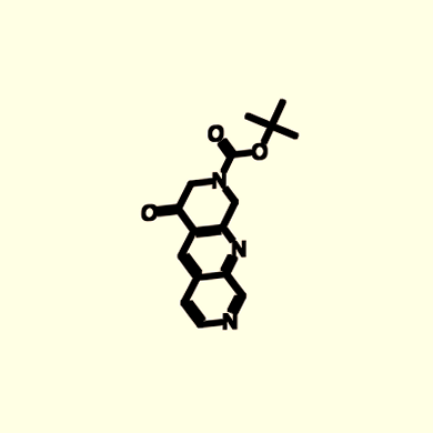 CC(C)(C)OC(=O)N1CC(=O)c2cc3ccncc3nc2C1